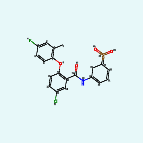 Cc1cc(F)ccc1Oc1ccc(Cl)cc1C(=O)NC1=CC=CC(=S(=O)=O)C1